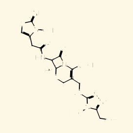 Cn1c(CO)nnc1SCC1=C(C(=O)O)N2C(=O)C(NC(=O)Cc3csc(=N)n3O)[C@@H]2SC1